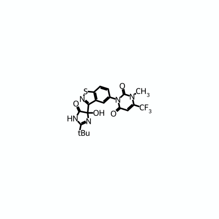 Cn1c(C(F)(F)F)cc(=O)n(-c2ccc3snc(C4(O)N=C(C(C)(C)C)NC4=O)c3c2)c1=O